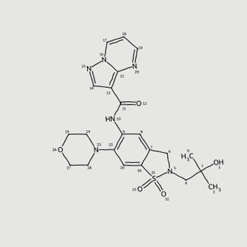 CC(C)(O)CN1Cc2cc(NC(=O)c3cnn4cccnc34)c(N3CCOCC3)cc2S1(=O)=O